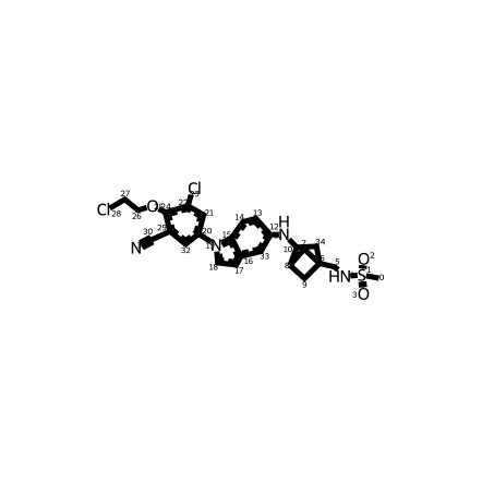 CS(=O)(=O)NCC12CC(C1)C(Nc1ccc3c(ccn3-c3cc(Cl)c(OCCCl)c(C#N)c3)c1)C2